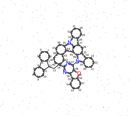 c1ccc2c(c1)-c1ccccc1C2CCc1nc(-n2c3ccccc3c3cc4c5ccccc5n5c6ccc7ccccc7c6c(c32)c45)c2oc3ccccc3c2n1